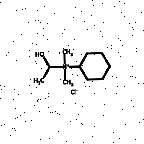 CC(O)[N+](C)(C)C1CCCCC1.[Cl-]